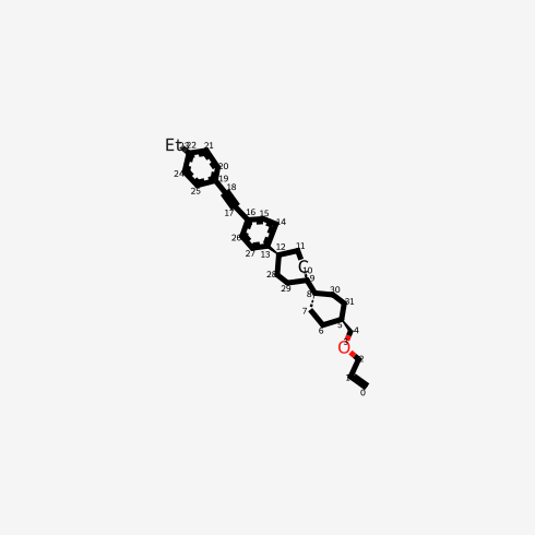 C=CCOC[C@H]1CC[C@H]([C@H]2CC[C@H](c3ccc(C#Cc4ccc(CC)cc4)cc3)CC2)CC1